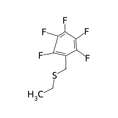 CCSCc1c(F)c(F)c(F)c(F)c1F